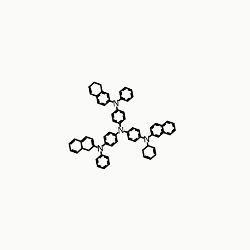 C1=CCC(N(c2ccc(N(c3ccc(N(C4=CC=C5C=CC=CC5C4)c4ccccc4)cc3)c3ccc(N(c4ccccc4)c4ccc5c(c4)CCC=C5)cc3)cc2)c2ccc3ccccc3c2)C=C1